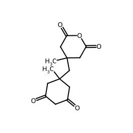 CC1(CC2(C)CC(=O)OC(=O)C2)CC(=O)CC(=O)C1